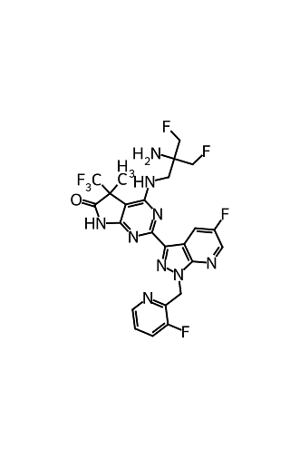 CC1(C(F)(F)F)C(=O)Nc2nc(-c3nn(Cc4ncccc4F)c4ncc(F)cc34)nc(NCC(N)(CF)CF)c21